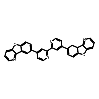 C1=C(c2ccnc(-c3cc(-c4ccc5oc6cccnc6c5c4)ccn3)c2)CC2C(=C1)Oc1cccnc12